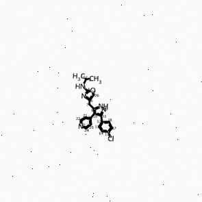 CC(C)Nc1nc(Cc2[nH]nc(-c3ccc(Cl)cc3)c2-c2ccncc2)co1